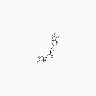 O=C1N[C@H](CCC(=O)N2CC(c3cnc(C4(C(F)(F)F)CC4)nc3)C2)CO1